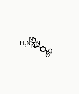 Nc1nccc2nc(-c3ccc([N+](=O)[O-])cc3)cnc12